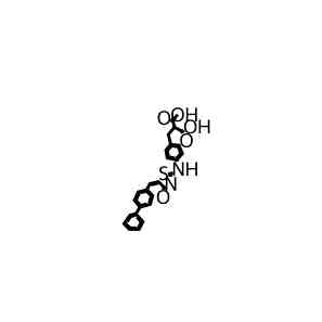 O=C1N=C(Nc2ccc(CC(C(=O)O)C(=O)O)cc2)S/C1=C/c1ccc(-c2ccccc2)cc1